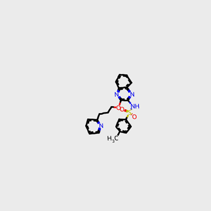 Cc1ccc(S(=O)(=O)Nc2nc3ccccc3nc2OCCCc2ccccn2)cc1